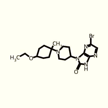 CCOC1CCC(C)(N2CCC(n3c(=O)[nH]c4ncc(Br)nc43)CC2)CC1